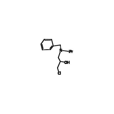 CC(C)N(Cc1ccccc1)CC(O)CCl